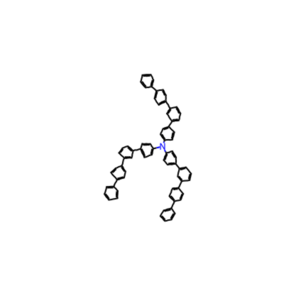 c1ccc(-c2ccc(-c3cccc(-c4ccc(N(c5ccc(-c6cccc(-c7ccc(-c8ccccc8)cc7)c6)cc5)c5ccc(-c6cccc(-c7ccc(-c8ccccc8)cc7)c6)cc5)cc4)c3)cc2)cc1